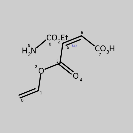 C=COC(=O)/C=C\C(=O)O.CCOC(N)=O